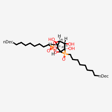 CCCCCCCCCCCCCCCCCCP1(=O)O[C@@H]2[C@@H](O)[C@H](O)C3(O1)[C@@](O)([C@H]2O)P3(=O)CCCCCCCCCCCCCCCCCC